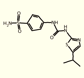 CC(C)c1cnc(NC(=O)Nc2ccc(S(N)(=O)=O)cc2)s1